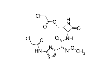 CO/N=C(\C(=O)N[C@H]1C(=O)N[C@H]1COC(=O)CCl)c1csc(NC(=O)CCl)n1